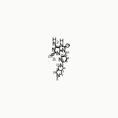 CN1CC2CN(c3ccc(Cn4c(=O)[nH]c5c(N)nc(P(C)C)nc54)cn3)CC2C1